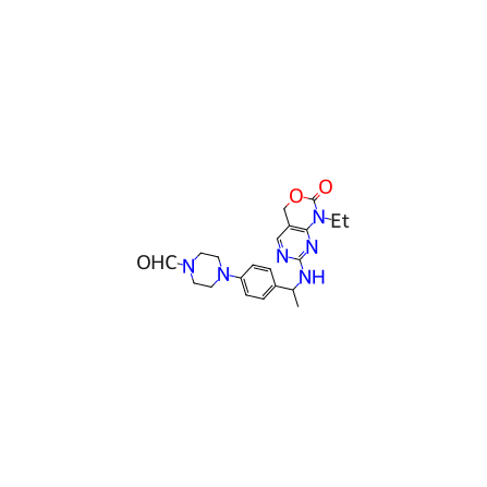 CCN1C(=O)OCc2cnc(NC(C)c3ccc(N4CCN(C=O)CC4)cc3)nc21